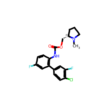 CN1CCC[C@H]1COC(=O)Nc1ccc(F)cc1-c1ccc(Cl)c(F)c1